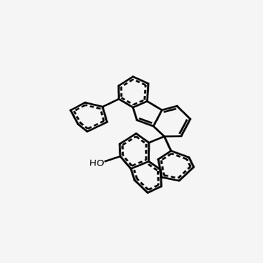 Oc1ccc(C2(c3ccccc3)C=CC=C3C2=Cc2c3cccc2-c2ccccc2)c2ccccc12